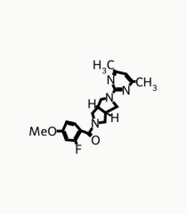 COc1ccc(C(=O)N2C[C@@H]3CN(c4nc(C)cc(C)n4)C[C@@H]3C2)c(F)c1